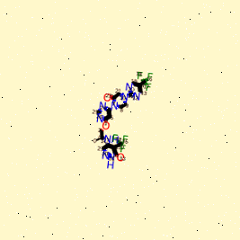 C[C@@H](COc1cc(N2CCN(c3ncc(C(F)(F)F)cn3)CC2=O)ncn1)Nc1cn[nH]c(=O)c1C(F)(F)F